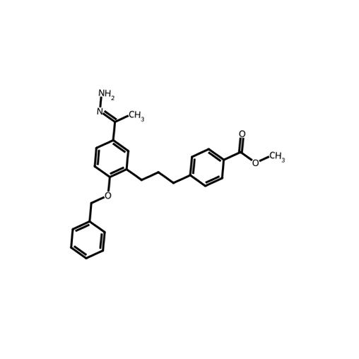 COC(=O)c1ccc(CCCc2cc(C(C)=NN)ccc2OCc2ccccc2)cc1